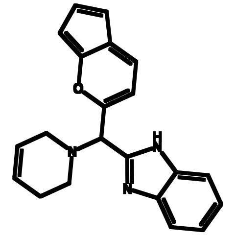 C1=CCN(C(c2nc3ccccc3[nH]2)c2ccc3cccc-3o2)CC1